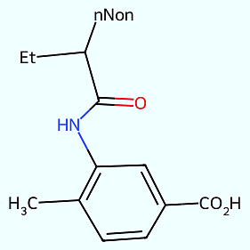 CCCCCCCCCC(CC)C(=O)Nc1cc(C(=O)O)ccc1C